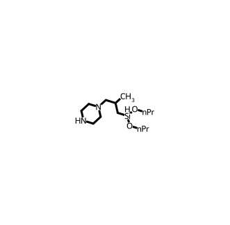 CCCO[SiH](CC(C)CN1CCNCC1)OCCC